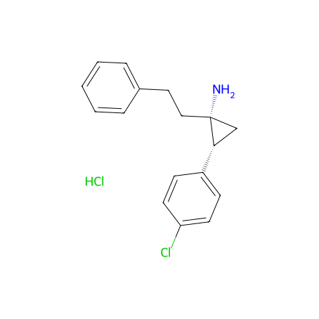 Cl.N[C@]1(CCc2ccccc2)C[C@@H]1c1ccc(Cl)cc1